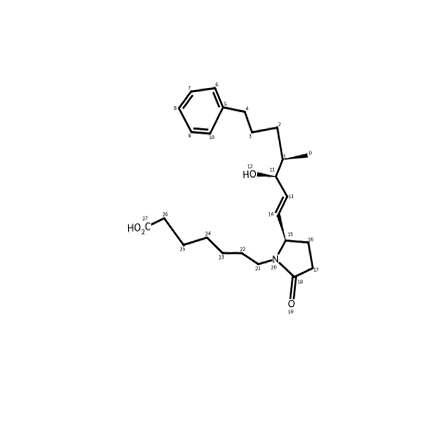 C[C@H](CCCc1ccccc1)[C@H](O)C=C[C@H]1CCC(=O)N1CCCCCCC(=O)O